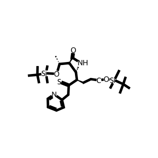 C[C@@H](O[Si](C)(C)C(C)(C)C)[C@H]1C(=O)N[C@@H]1[C@@H](CCCO[Si](C)(C)C(C)(C)C)C(=S)Cc1ccccn1